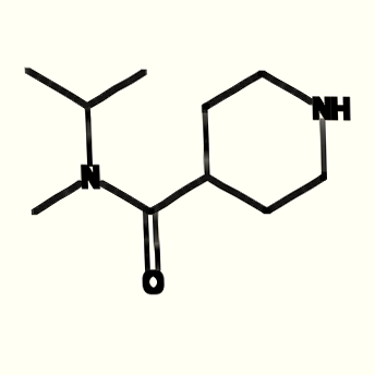 CC(C)N(C)C(=O)C1CCNCC1